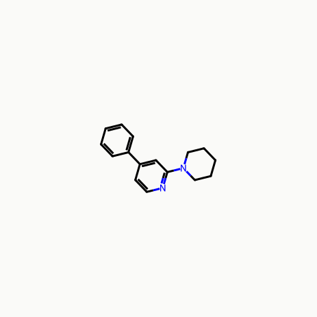 c1ccc(-c2ccnc(N3CCCCC3)c2)cc1